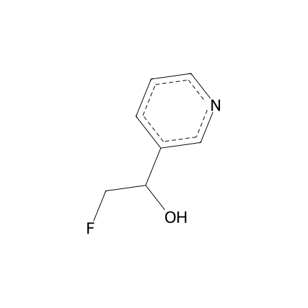 OC(CF)c1cccnc1